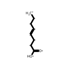 CCCC=CCCC(=O)O